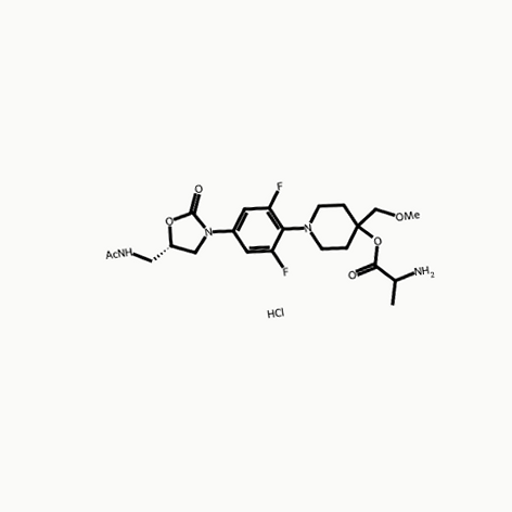 COCC1(OC(=O)C(C)N)CCN(c2c(F)cc(N3C[C@H](CNC(C)=O)OC3=O)cc2F)CC1.Cl